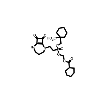 O=C(OCOP(=O)(CCN1CCCNc2c1c(=O)c2=O)OCC1(C(=O)O)CCCCC1)C1CCCCC1